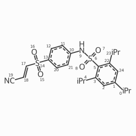 CC(C)c1cc(C(C)C)c(S(=O)(=O)Nc2ccc(S(=O)(=O)C=CC#N)cc2)c(C(C)C)c1